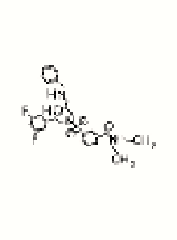 CCCN(CCC)C(=O)c1cccc(S(=O)(=O)N(CCc2cc(F)cc(F)c2)C[C@H](O)CNCc2ccccc2)c1